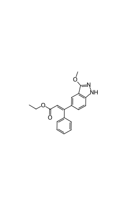 CCOC(=O)C=C(c1ccccc1)c1ccc2[nH]nc(OC)c2c1